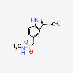 CNS(=O)(=O)Cc1ccc2[nH]cc(CCCl)c2c1